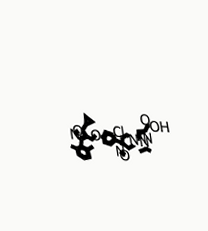 Cc1cccc(C)c1-c1noc(C2CC2)c1COc1ccc(C2(N=O)CCN(c3cc(C(=O)O)nn3C(C)C)CC2)c(Cl)c1